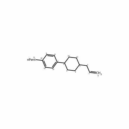 C=CCC1CCC(c2ccc(CCCCC)cc2)CC1